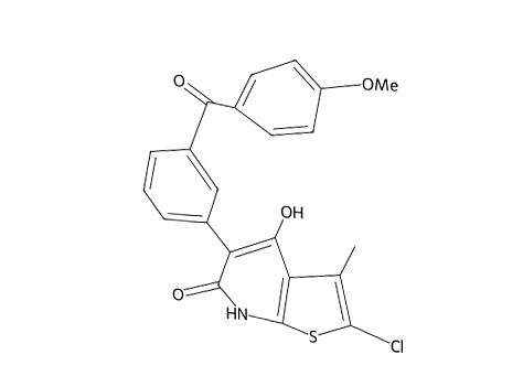 COc1ccc(C(=O)c2cccc(-c3c(O)c4c(C)c(Cl)sc4[nH]c3=O)c2)cc1